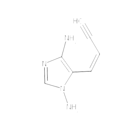 C#C/C=C\c1c(N)ncn1N